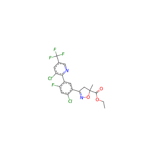 CCOC(=O)C1(C)CC(c2cc(-c3ncc(C(F)(F)F)cc3Cl)c(F)cc2Cl)=NO1